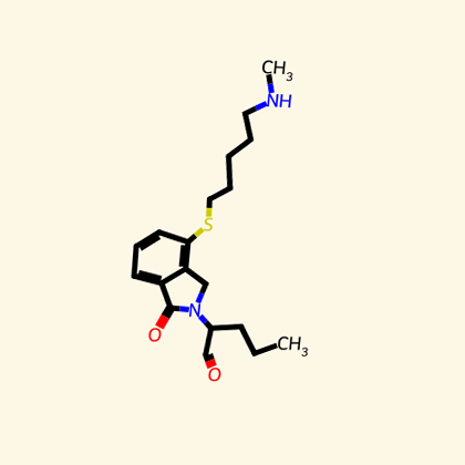 CCCC(C=O)N1Cc2c(SCCCCCNC)cccc2C1=O